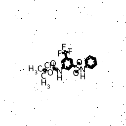 CC(C)(C)OC(=O)Nc1cc(C(F)(F)F)cc(S(=O)(=O)Nc2ccccc2)c1